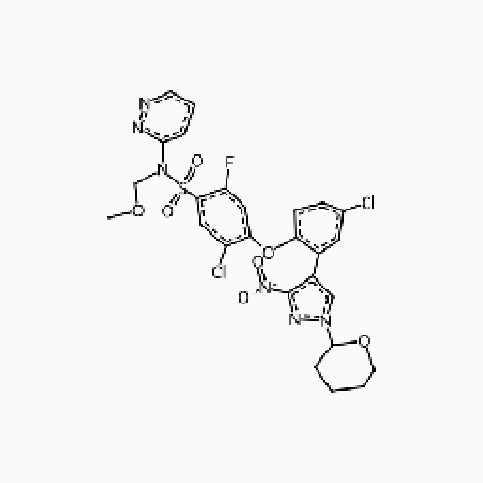 COCN(c1cccnn1)S(=O)(=O)c1cc(Cl)c(Oc2ccc(Cl)cc2-c2cn(C3CCCCO3)nc2[N+](=O)[O-])cc1F